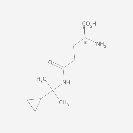 CC(C)(NC(=O)CC[C@H](N)C(=O)O)C1CC1